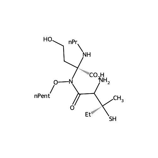 CCCCCON(C(=O)C(N)[C@@](C)(S)CC)[C@@](CCO)(NCCC)C(=O)O